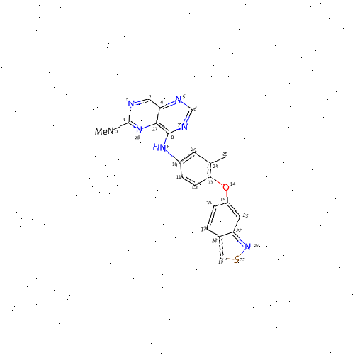 CNc1ncc2ncnc(Nc3ccc(Oc4ccc5csnc5c4)c(C)c3)c2n1